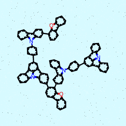 c1ccc2c(c1)oc1c(-c3ccc4c5ccccc5n(-c5ccc(-c6cc7c8ccccc8n8c9cc(-c%10ccc%11c(oc%12ccccc%12%11)c%10-c%10ccc%11c(c%10)c%10ccccc%10n%11-c%10ccc(-c%11cc%12c%13ccccc%13n%13c%14ccccc%14c(c%11)c%12%13)cc%10)ccc9c(c6)c78)cc5)c4c3)cccc12